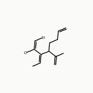 C=CCCC(C(=C)C)C(=C/C)/C(Cl)=C\CC